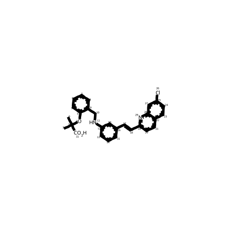 CC(C)(Oc1ccccc1CNc1cccc(C=Cc2ccc3ccc(Cl)cc3n2)c1)C(=O)O